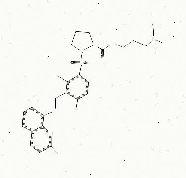 Cc1ccc2cccc(OCc3c(Cl)ccc(S(=O)(=O)N4CCC[C@H]4C(=O)OCCCN(C)C)c3Cl)c2n1